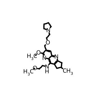 COCCNc1c2c(nc3cc(COCCN4CCCC4)c(OC)nc13)CC(C)C2